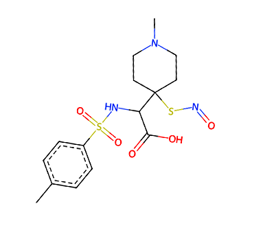 Cc1ccc(S(=O)(=O)NC(C(=O)O)C2(SN=O)CCN(C)CC2)cc1